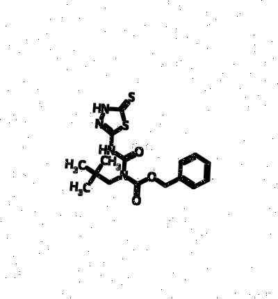 CC(C)(C)CN(C(=O)Nc1n[nH]c(=S)s1)C(=O)OCc1ccccc1